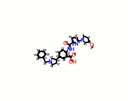 CO[C@H]1CCN(c2nc(C(=O)Nc3ccc(C4CCN(Cc5ccccc5)C4)cc3C(=O)O)cs2)C1